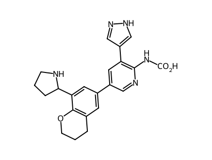 O=C(O)Nc1ncc(-c2cc3c(c(C4CCCN4)c2)OCCC3)cc1-c1cn[nH]c1